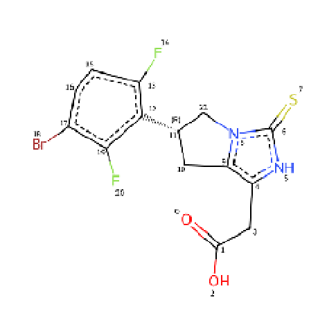 O=C(O)Cc1[nH]c(=S)n2c1C[C@H](c1c(F)ccc(Br)c1F)C2